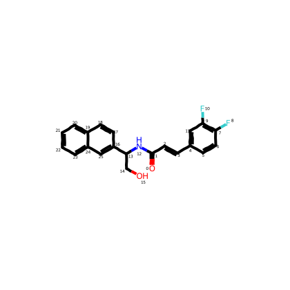 O=C(C=Cc1ccc(F)c(F)c1)NC(CO)c1ccc2ccccc2c1